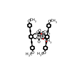 CCOC(=O)[C@]12N3Cc4c(C#Cc5ccc(OC)cc5)ccc(C#Cc5ccc(OC)cc5)c4CN1C(=O)N1Cc4c(C#Cc5ccc(OC)cc5)ccc(C#Cc5ccc(OC)cc5)c4CN(C3=O)[C@]12C(=O)OCC